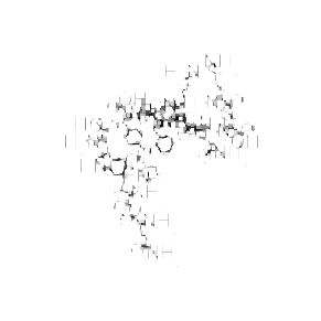 CC(C)[C@H](N)C(=O)OC(=O)[C@@H](N)CCC(N)=O.NCCCC[C@H](N)C(=O)OC(=O)[C@@H](N)CCC(N)=O.NCCCC[C@H](N)C(=O)OC[C@H](N)C(=O)O.N[C@@H](Cc1c[nH]c2ccccc12)C(=O)O.N[C@@H](Cc1ccc(OC(=O)[C@@H]2CCCN2)cc1)C(=O)O.N[C@@H](Cc1ccccc1)C(=O)O